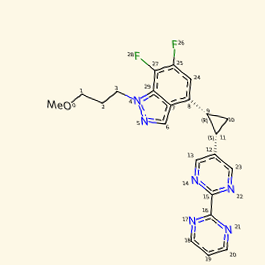 COCCCn1ncc2c([C@@H]3C[C@@H]3c3cnc(-c4ncccn4)nc3)cc(F)c(F)c21